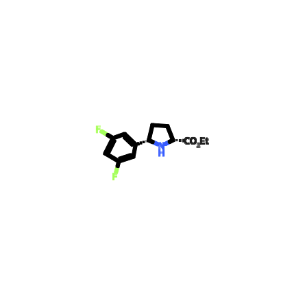 CCOC(=O)[C@H]1CC[C@@H](c2cc(F)cc(F)c2)N1